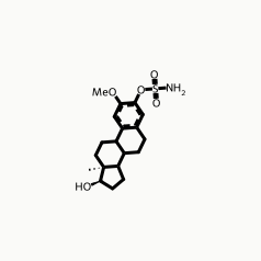 COc1cc2c(cc1OS(N)(=O)=O)CCC1C2CC[C@@]2(C)C1CC[C@H]2O